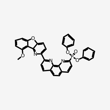 COc1cccc2oc3ccc(-c4ccc5ccc6ccc(P(=O)(Oc7ccccc7)Oc7ccccc7)nc6c5n4)nc3c12